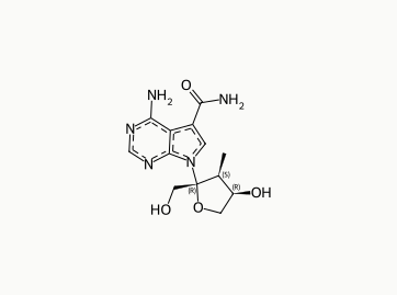 C[C@H]1[C@@H](O)CO[C@]1(CO)n1cc(C(N)=O)c2c(N)ncnc21